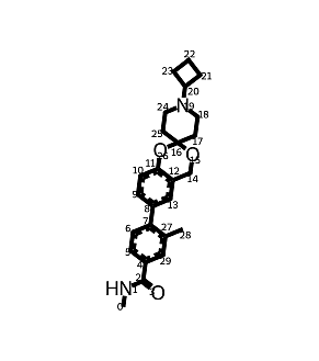 CNC(=O)c1ccc(-c2ccc3c(c2)COC2(CCN(C4CCC4)CC2)O3)c(C)c1